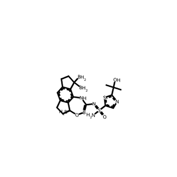 BC1(B)CCc2cc3c4c(c21)NC(N=S(N)(=O)c1cnc(C(C)(C)O)s1)=BOC4(B)CC3